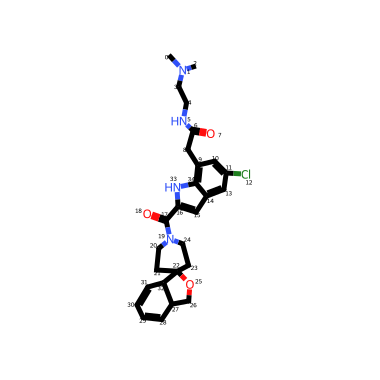 CN(C)CCNC(=O)Cc1cc(Cl)cc2cc(C(=O)N3CCC4(CC3)OCC3C=CC=CC34)[nH]c12